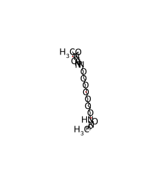 CC1CC(=O)N(Cc2cn(CCOCCOCCOCCOCCOCCOCCOCCNC(=O)N3CC[C@@H](C)C3)nn2)C1=O